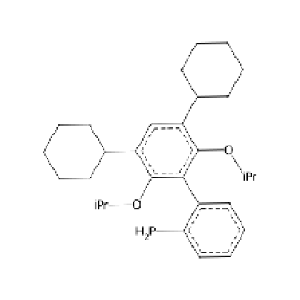 CC(C)Oc1c(C2CCCCC2)cc(C2CCCCC2)c(OC(C)C)c1-c1ccccc1P